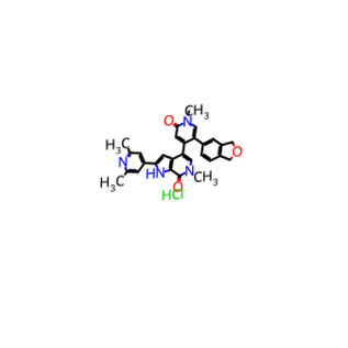 Cc1cc(-c2cc3c(-c4cc(=O)n(C)cc4-c4ccc5c(c4)COC5)cn(C)c(=O)c3[nH]2)cc(C)n1.Cl